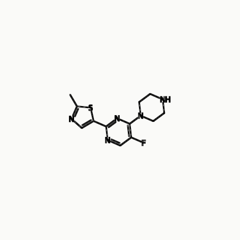 Cc1ncc(-c2ncc(F)c(N3CCNCC3)n2)s1